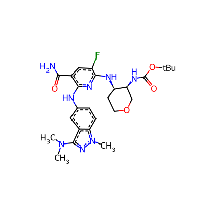 CN(C)c1nn(C)c2ccc(Nc3nc(N[C@@H]4CCOC[C@@H]4NC(=O)OC(C)(C)C)c(F)cc3C(N)=O)cc12